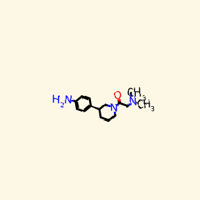 CN(C)CC(=O)N1CCCC(c2ccc(N)cc2)C1